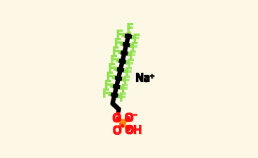 O=P([O-])(O)OCCC(F)(F)C(F)(F)C(F)(F)C(F)(F)C(F)(F)C(F)(F)C(F)(F)C(F)(F)F.[Na+]